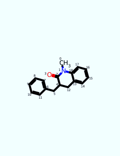 CN1C(=O)C(Cc2ccccc2)Cc2ccccc21